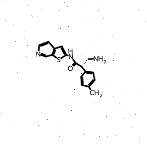 [CH2]c1ccc([C@@H](CN)C(=O)Nc2cc3ccncc3s2)cc1